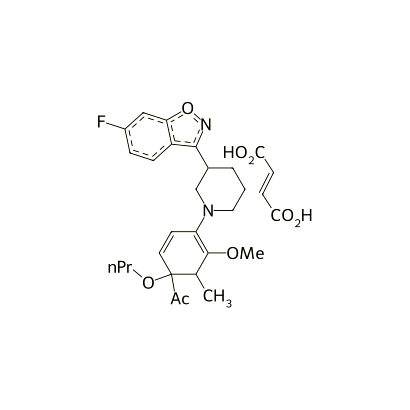 CCCOC1(C(C)=O)C=CC(N2CCCC(c3noc4cc(F)ccc34)C2)=C(OC)C1C.O=C(O)/C=C/C(=O)O